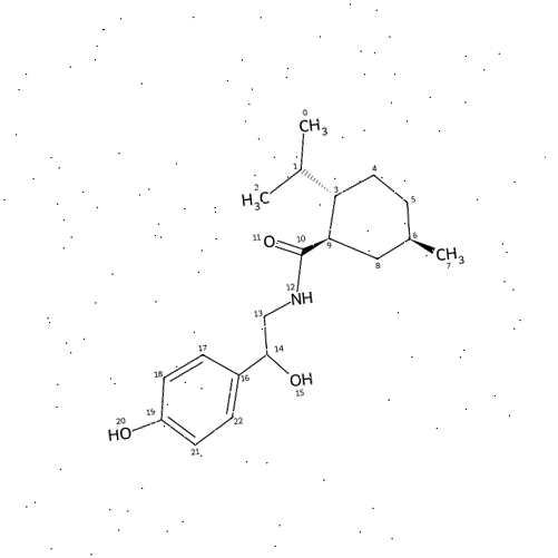 CC(C)[C@@H]1CC[C@@H](C)C[C@H]1C(=O)NCC(O)c1ccc(O)cc1